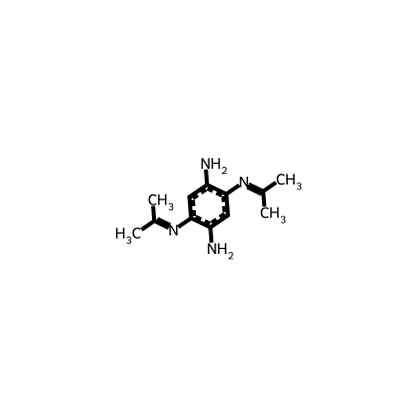 CC(C)=Nc1cc(N)c(N=C(C)C)cc1N